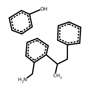 CC(Cc1ccccc1)c1ccccc1CN.Oc1ccccc1